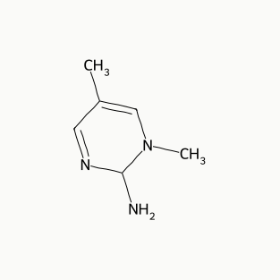 CC1=CN(C)C(N)N=C1